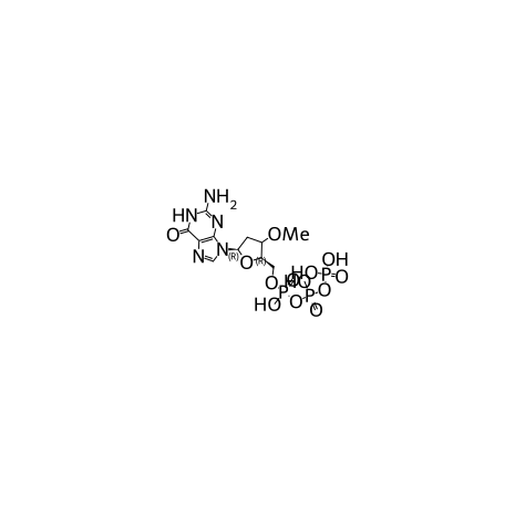 COC1C[C@H](n2cnc3c(=O)[nH]c(N)nc32)O[C@@H]1COP(=O)(O)OP(=O)(O)OP(=O)(O)O